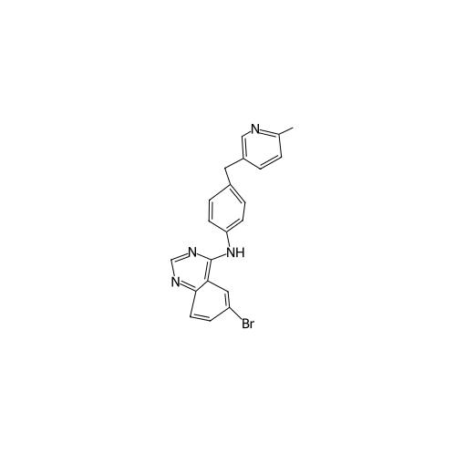 Cc1ccc(Cc2ccc(Nc3ncnc4ccc(Br)cc34)cc2)cn1